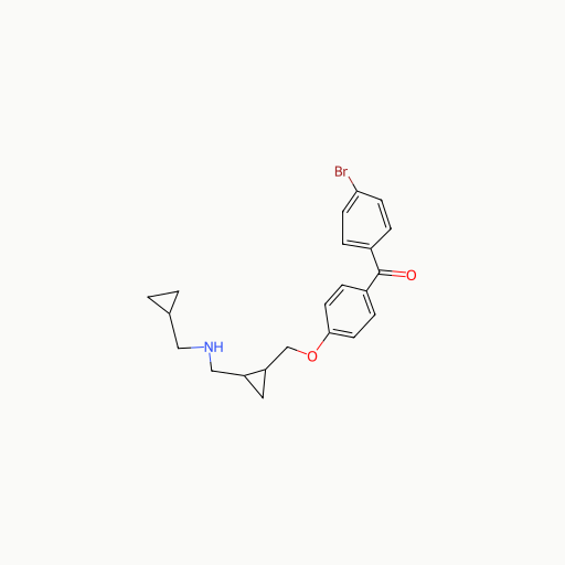 O=C(c1ccc(Br)cc1)c1ccc(OCC2CC2CNCC2CC2)cc1